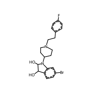 OC1c2ccc(Br)cc2N(C2CCN(CCc3ccc(F)cc3)CC2)C1O